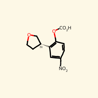 O=C(O)Oc1ccc([N+](=O)[O-])cc1[C@@H]1CCOC1